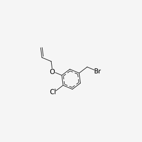 C=CCOc1cc(CBr)ccc1Cl